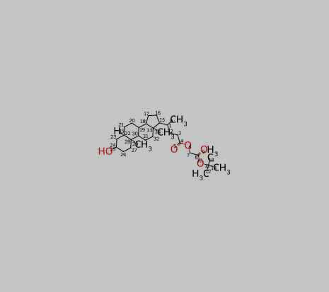 CC(CCC(=O)OCC(=O)OC(C)(C)C)C1CCC2C3CC[C@H]4CC(O)CCC4(C)C3CCC12C